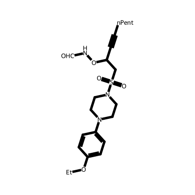 CCCCCC#CC(CS(=O)(=O)N1CCN(c2ccc(OCC)cc2)CC1)ONC=O